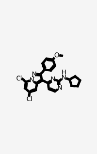 COc1ccc(-c2nn3c(Cl)cc(Cl)cc3c2-c2ccnc(NC3CCCC3)n2)cc1